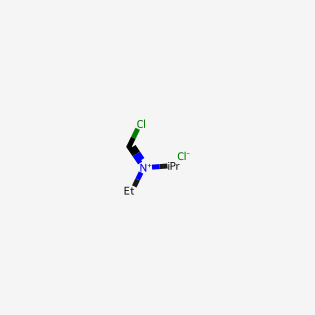 CC[N+](=CCl)C(C)C.[Cl-]